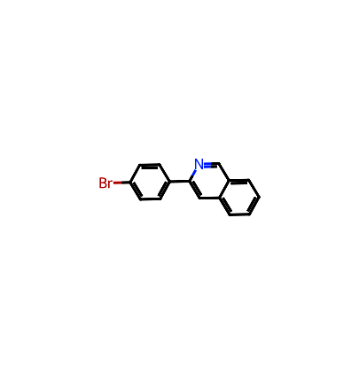 Brc1ccc(-c2cc3ccccc3cn2)cc1